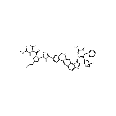 COCC1CC(c2ncc(-c3ccc4c(c3)COc3cc5c(ccc6nc([C@@H]7[C@@H](C(=O)[C@@H](c8ccccc8)N(C)C(=O)O)C[C@@H]8CN87)[nH]c65)cc3-4)[nH]2)N(C(=O)C(NC(=O)OC)C(C)C)C1